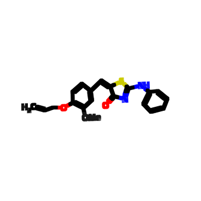 C=CCOc1ccc(C=C2SC(Nc3ccccc3)=NC2=O)cc1OC